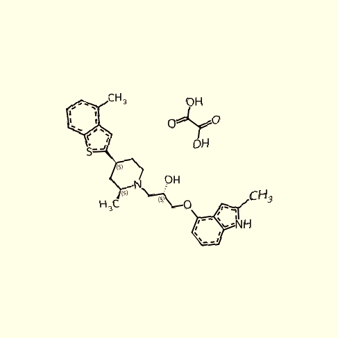 Cc1cc2c(OC[C@@H](O)CN3CC[C@H](c4cc5c(C)cccc5s4)C[C@@H]3C)cccc2[nH]1.O=C(O)C(=O)O